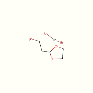 BrCCC1OCCO1.[Br][Zn][Br]